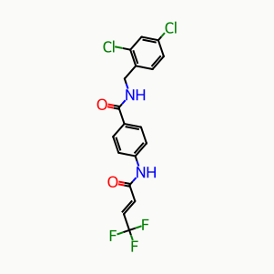 O=C(/C=C/C(F)(F)F)Nc1ccc(C(=O)NCc2ccc(Cl)cc2Cl)cc1